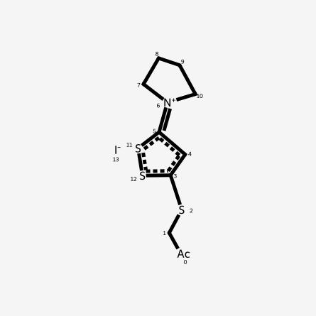 CC(=O)CSc1cc(=[N+]2CCCC2)ss1.[I-]